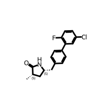 C[C@H]1C[C@@H](Cc2ccc(-c3cc(Cl)ccc3F)cc2)NC1=O